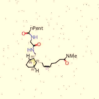 CCCCCC(=O)NCC(=O)NC[C@@H]1[C@H](C/C=C\CCCC(=O)NC)[C@@H]2CC[C@H]1S2